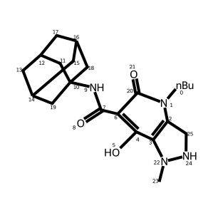 CCCCn1c2c(c(O)c(C(=O)NC34CC5CC(CC(C5)C3)C4)c1=O)N(C)NC2